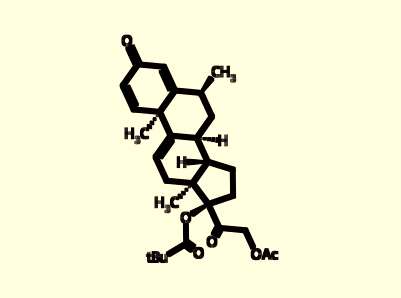 CC(=O)OCC(=O)[C@@]1(OC(=O)C(C)(C)C)CC[C@H]2[C@@H]3C[C@H](C)C4=CC(=O)C=C[C@]4(C)C3=CC[C@@]21C